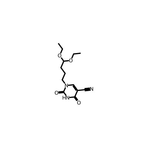 CCOC(CCCn1cc(C#N)c(=O)[nH]c1=O)OCC